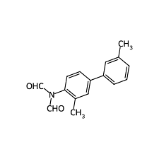 Cc1cccc(-c2ccc(N(C=O)C=O)c(C)c2)c1